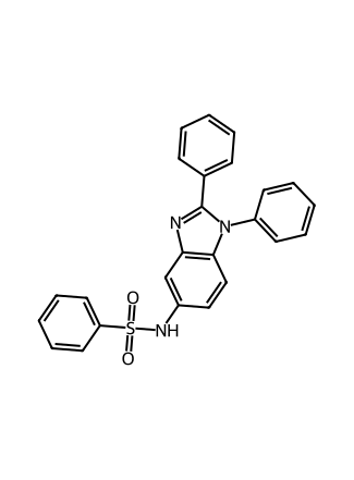 O=S(=O)(Nc1ccc2c(c1)nc(-c1ccccc1)n2-c1ccccc1)c1ccccc1